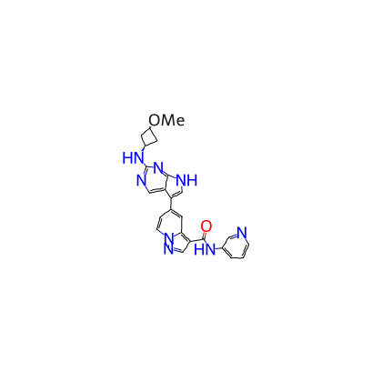 CO[C@H]1C[C@@H](Nc2ncc3c(-c4ccn5ncc(C(=O)Nc6cccnc6)c5c4)c[nH]c3n2)C1